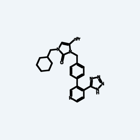 CCCc1cn(CC2CCCCC2)c(=O)n1Cc1ccc(-c2cnccc2-c2nnn[nH]2)cc1